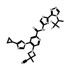 CC(n1cnnc1-c1nc(NC(=O)c2cc(-n3cnc(C4CC4)c3)c(N3CC(C)(C#N)C3)cn2)cs1)C(F)(F)F